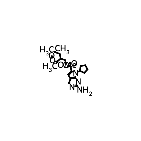 COC1(C)OOC(C)(C)CC1COC(=O)c1cc2cnc(N)nc2n1C1CCCC1